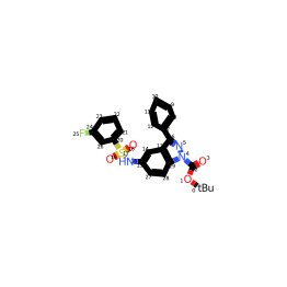 CC(C)(C)OC(=O)n1nc(-c2ccccc2)c2cc(NS(=O)(=O)c3cccc(F)c3)ccc21